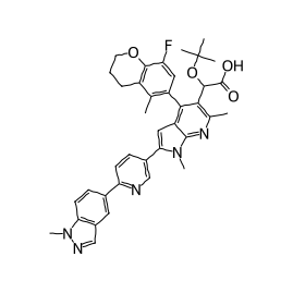 Cc1nc2c(cc(-c3ccc(-c4ccc5c(cnn5C)c4)nc3)n2C)c(-c2cc(F)c3c(c2C)CCCO3)c1C(OC(C)(C)C)C(=O)O